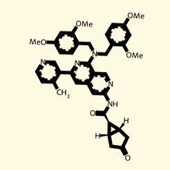 COc1ccc(CN(Cc2ccc(OC)cc2OC)c2nc(-c3cnccc3C)cc3cc(NC(=O)[C@H]4[C@@H]5CC(=O)C[C@@H]54)ncc23)c(OC)c1